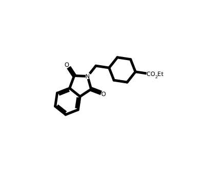 CCOC(=O)C1CCC(CN2C(=O)c3ccccc3C2=O)CC1